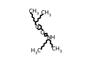 CCCCCCCC(CCCCC)N[C@H]1C[C@H](OCC2CCN(CC(CCCCCC)CCCCCC)CC2)C1